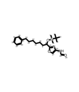 CC(C)(C)[Si](C)(C)OC(CCCCCCc1ccccc1)c1nc(NC=O)co1